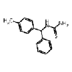 Cc1ccc(C(NC(N)=S)c2ccccc2)cc1